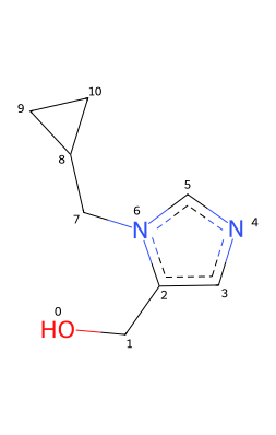 OCc1cncn1CC1CC1